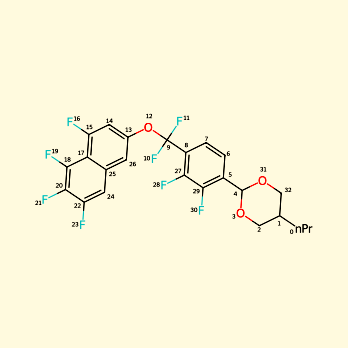 CCCC1COC(c2ccc(C(F)(F)Oc3cc(F)c4c(F)c(F)c(F)cc4c3)c(F)c2F)OC1